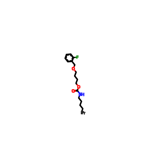 CC(C)CCCCNC(=O)OCCCCOCc1ccccc1F